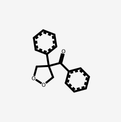 O=C(c1ccccc1)C1(c2ccccc2)COOC1